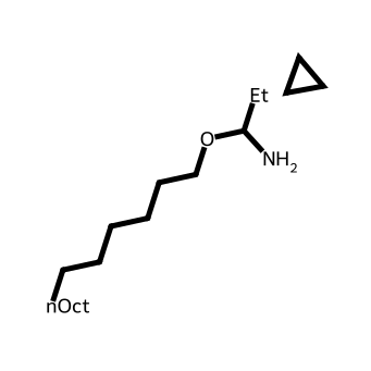 C1CC1.CCCCCCCCCCCCCCOC(N)CC